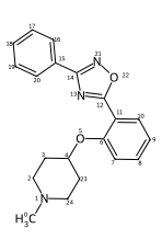 CN1CCC(Oc2ccccc2-c2nc(-c3ccccc3)no2)CC1